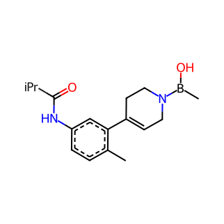 CB(O)N1CC=C(c2cc(NC(=O)C(C)C)ccc2C)CC1